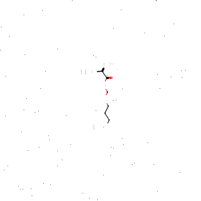 C=C(C)C(=O)OCOCCCC